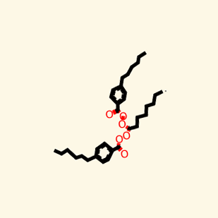 [CH2]CCCCCC[C](OOC(=O)c1ccc(CCCCCC)cc1)OOC(=O)c1ccc(CCCCCC)cc1